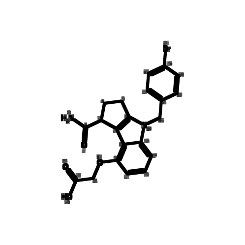 NC(=O)C1CCc2c1c1c(OCC(=O)O)cccc1n2Cc1ccc(Br)cc1